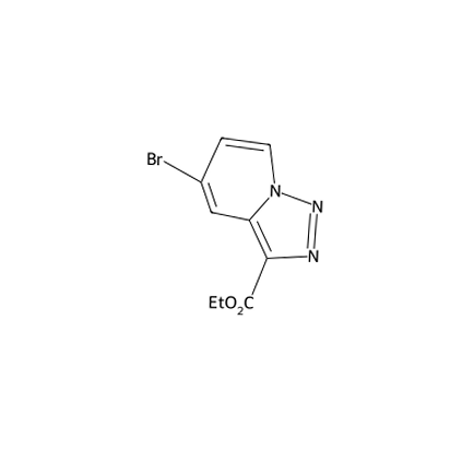 CCOC(=O)c1nnn2ccc(Br)cc12